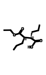 CCC[C@H](C(=O)O)[C@@H](CCC)C(=O)OCC